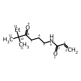 C=CC(=O)NCCCC(=O)C(C)(C)CC